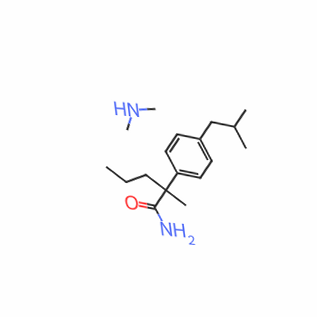 CCCC(C)(C(N)=O)c1ccc(CC(C)C)cc1.CNC